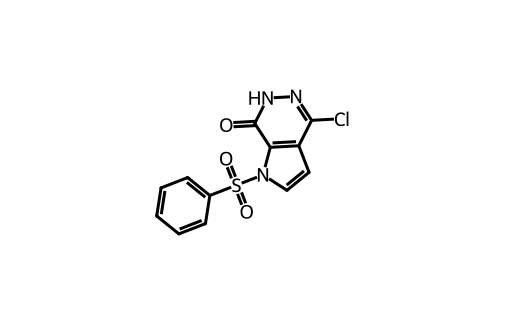 O=c1[nH]nc(Cl)c2ccn(S(=O)(=O)c3ccccc3)c12